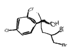 [CH2]C(O)(CC(Br)CBr)c1ccc(Cl)cc1Cl